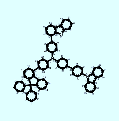 c1ccc(C2(c3ccccc3)c3ccccc3-c3c(-c4ccc(N(c5ccc(-c6ccc(-n7c8ccccc8c8ccccc87)cc6)cc5)c5ccc(-c6cccc7c6oc6ccccc67)cc5)cc4)cccc32)cc1